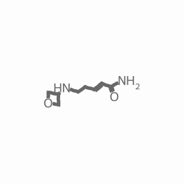 NC(=O)C=CCCNC1COC1